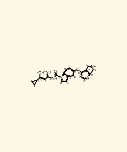 N=C(/C=C(\O)C1CC1)NC(=O)n1ccc2cc(Oc3ncnc4c3CNC4)ccc21